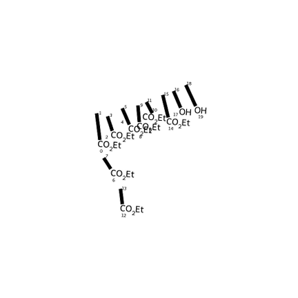 CCOC(C)=O.CCOC(C)=O.CCOC(C)=O.CCOC(C)=O.CCOC(C)=O.CCOC(C)=O.CCOC(C)=O.CCOC(C)=O.CO.CO